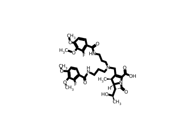 COc1ccc(C(=O)NCCCN(CCCNC(=O)c2ccc(OC)c(OC)c2F)CC2=C(C(=O)O)N3C(=O)[C@H]([C@@H](C)O)[C@H]3[C@H]2C)c(F)c1OC